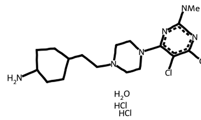 CNc1nc(Cl)c(Cl)c(N2CCN(CCC3CCC(N)CC3)CC2)n1.Cl.Cl.O